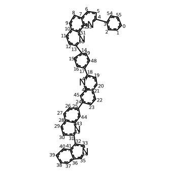 c1ccc(-c2ccc3ccc4ccc(-c5ccc(-c6ccc7ccc(-c8ccc9ccc(-c%10cncc%11ccccc%10%11)nc9c8)cc7n6)cc5)nc4c3n2)cc1